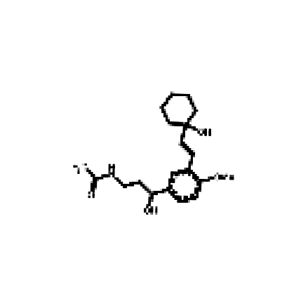 COc1ccc(C(O)CCNC(=O)C(F)(F)F)cc1C=CC1(O)CCCCC1